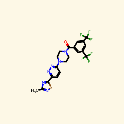 Cc1nsc(-c2ccc(N3CCN(C(=O)c4cc(C(F)(F)F)cc(C(F)(F)F)c4)CC3)nn2)n1